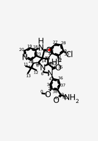 COc1cc(N2CN3[C@@H](CC(C)(C)C)C4(C(=O)Nc5ccncc54)[C@@H](c4cccc(Cl)c4F)[C@@H]3C2=O)ccc1C(N)=O